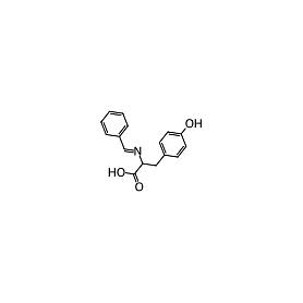 O=C(O)C(Cc1ccc(O)cc1)N=Cc1ccccc1